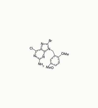 COc1ccc(OC)c(Cn2c(Br)nc3c(Cl)nc(N)nc32)c1